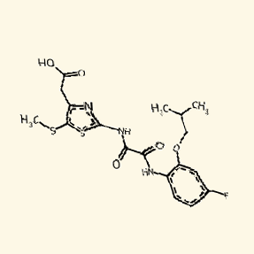 CSc1sc(NC(=O)C(=O)Nc2ccc(F)cc2OCC(C)C)nc1CC(=O)O